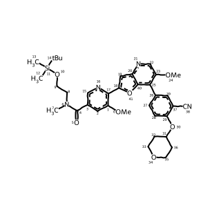 COc1cc(C(=O)N(C)CCO[Si](C)(C)C(C)(C)C)cnc1-c1cc2ncc(OC)c(-c3ccc(OC4CCOCC4)c(C#N)c3)c2o1